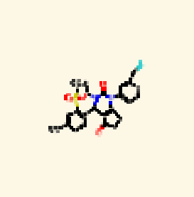 CS(=O)(=O)c1cc(C#N)ccc1C1C2=C(CCC2=O)N(c2cccc(CF)c2)C(=O)N1CC(=O)O